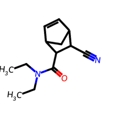 CCN(CC)C(=O)C1C2C=CC(C2)C1C#N